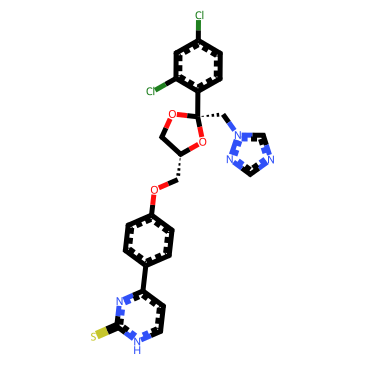 S=c1nc(-c2ccc(OC[C@@H]3CO[C@@](Cn4cncn4)(c4ccc(Cl)cc4Cl)O3)cc2)cc[nH]1